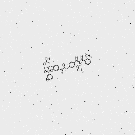 COc1cc(CC(=O)Nc2ccc([C@@H](CC(=O)O)NS(=O)(=O)c3cccnc3)cc2)ccc1NC(=O)Nc1ccccc1C